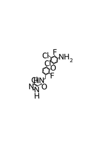 Nc1cc(Oc2c(Cl)ccc(CNC(=O)c3[nH]cnc3Cl)c2F)cc(Cl)c1F